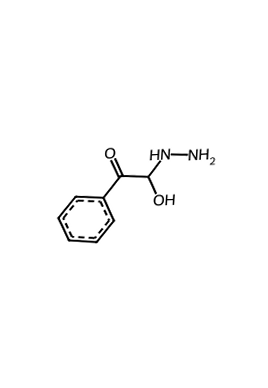 NNC(O)C(=O)c1ccccc1